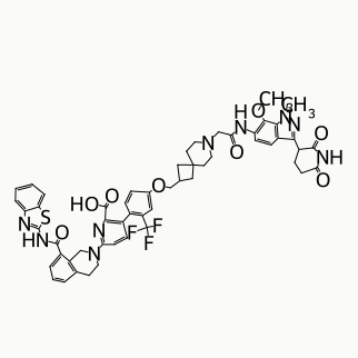 COc1c(NC(=O)CN2CCC3(CC2)CC(COc2ccc(-c4ccc(N5CCc6cccc(C(=O)Nc7nc8ccccc8s7)c6C5)nc4C(=O)O)c(C(F)(F)F)c2)C3)ccc2c(C3CCC(=O)NC3=O)nn(C)c12